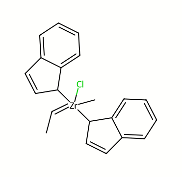 C[CH]=[Zr]([CH3])([Cl])([CH]1C=Cc2ccccc21)[CH]1C=Cc2ccccc21